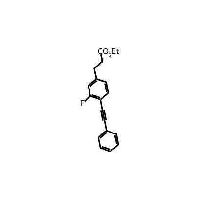 CCOC(=O)CCc1ccc(C#Cc2ccccc2)c(F)c1